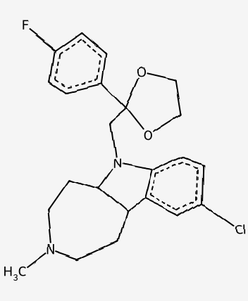 CN1CCC2c3cc(Cl)ccc3N(CC3(c4ccc(F)cc4)OCCO3)C2CC1